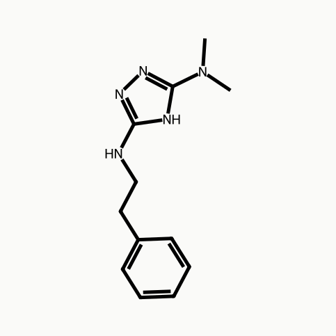 CN(C)c1nnc(NCCc2ccccc2)[nH]1